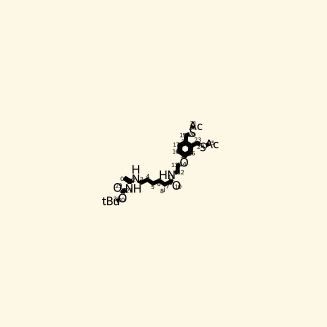 C=C(NCCCC[C@@H](C)C(=O)NCCOc1ccc(CSC(C)=O)c(CSC(C)=O)c1)NC(=O)OC(C)(C)C